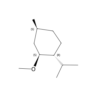 CO[C@H]1C[C@@H](C)CC[C@@H]1C(C)C